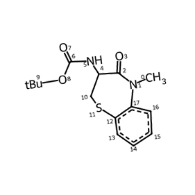 CN1C(=O)C(NC(=O)OC(C)(C)C)CSc2ccccc21